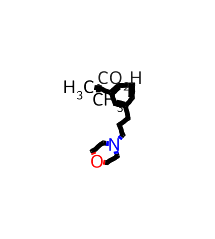 CC(C)(C(=O)O)c1cccc(CCCN2CCOCC2)c1